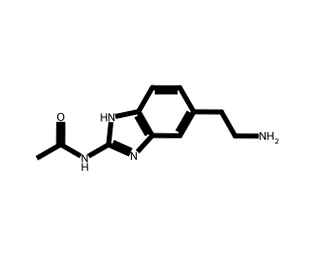 CC(=O)Nc1nc2cc(CCN)ccc2[nH]1